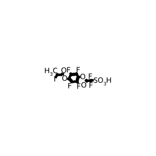 CC(I)C(=O)Oc1c(F)c(F)c(OC(=O)C(F)(F)S(=O)(=O)O)c(F)c1F